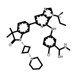 CC[C@H](C)n1cnc2cc(-c3ccc4c(c3)N([C@H]3C[C@@H](N5CCCCC5)C3)C(=O)C4(C)C)nc(Nc3ccc(Cl)c(C(O)NC)c3)c21